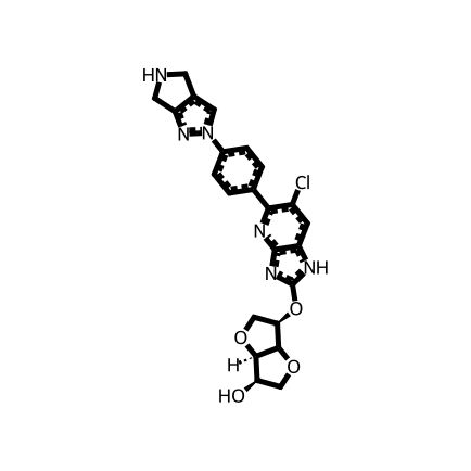 O[C@@H]1COC2[C@H](Oc3nc4nc(-c5ccc(-n6cc7c(n6)CNC7)cc5)c(Cl)cc4[nH]3)CO[C@@H]21